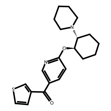 O=C(c1ccc(O[C@@H]2CCCC[C@H]2N2CCCCC2)nc1)c1ccsc1